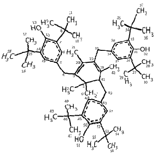 [CH2]C1(C)C(Cc2cc(C(C)(C)C)c(O)c(C(C)(C)C)c2)=C(C)C(Cc2cc(C(C)(C)C)c(O)c(C(C)(C)C)c2)=C(C)C1Cc1cc(C(C)(C)C)c(O)c(C(C)(C)C)c1